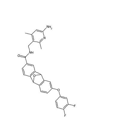 Cc1cc(N)nc(C)c1CNC(=O)c1ccc2c(c1)C1OC2c2ccc(Oc3ccc(F)c(F)c3)cc21